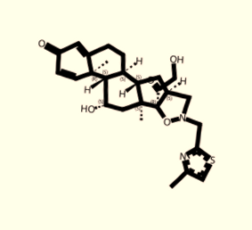 Cc1csc(CN2C[C@@H]3C[C@H]4[C@@H]5CCC6=CC(=O)C=C[C@]6(C)[C@H]5[C@@H](O)C[C@]4(C)[C@]3(C(=O)CO)O2)n1